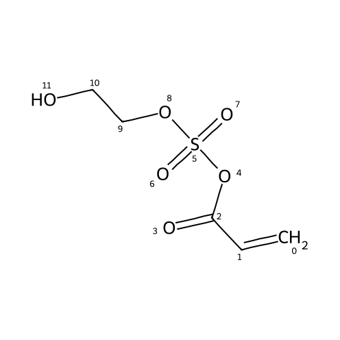 C=CC(=O)OS(=O)(=O)OCCO